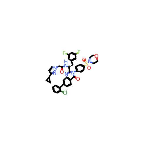 O=C(Cn1ccc(C2CC2)n1)N[C@@H](Cc1cc(F)cc(F)c1)c1nc2cc(-c3ccccc3Cl)ccc2c(=O)n1-c1ccc(S(=O)(=O)N2CCOCC2)cc1